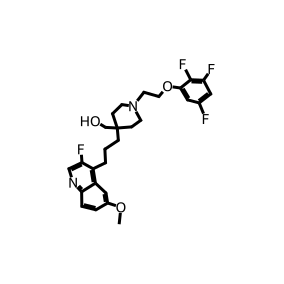 COc1ccc2ncc(F)c(CCCC3(CO)CCN(CCOc4cc(F)cc(F)c4F)CC3)c2c1